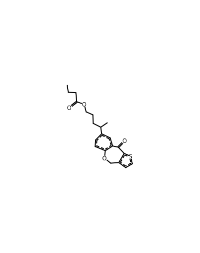 CCCC(=O)OCCCC(C)c1ccc2c(c1)C(=O)c1sccc1CO2